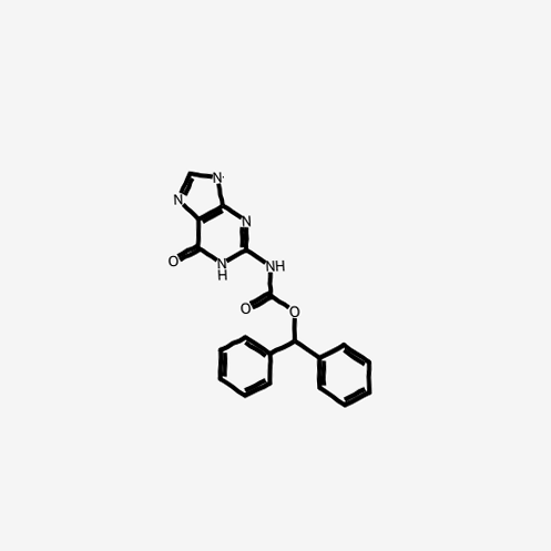 O=C(Nc1nc2c(c(=O)[nH]1)N=C[N]2)OC(c1ccccc1)c1ccccc1